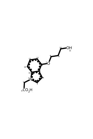 O=C(O)Cn1ccc2c(OCCCO)cccc21